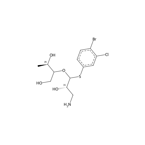 C[C@@H](O)C(CO)OC(Sc1ccc(Br)c(Cl)c1)[C@@H](O)CN